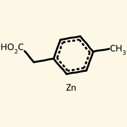 Cc1ccc(CC(=O)O)cc1.[Zn]